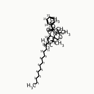 CCCCCCCCCCCCCCCC(OC(=O)c1ccccc1)[C@]1(C(C)(C)C)COC(C)(C)N1C(=O)OCC